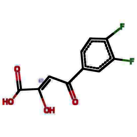 O=C(O)/C(O)=C/C(=O)c1ccc(F)c(F)c1